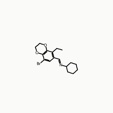 CCc1c(/C=N/C2CCCCC2)cc(Br)c2c1OCCO2